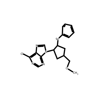 COCC1CC([Se]c2ccccc2)C(n2cnc3c(Cl)ncnc32)C1